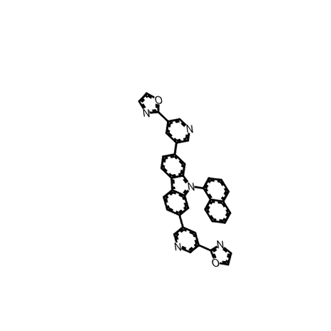 c1ccc2c(-n3c4cc(-c5cncc(-c6ncco6)c5)ccc4c4ccc(-c5cncc(-c6ncco6)c5)cc43)cccc2c1